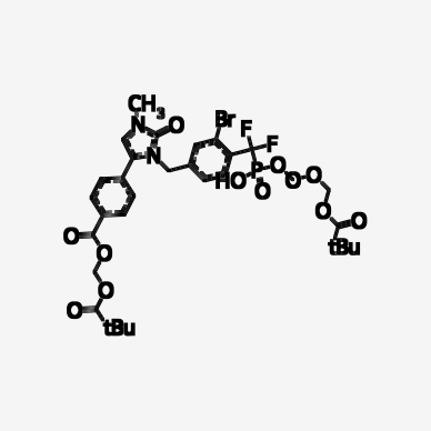 Cn1cc(-c2ccc(C(=O)OCOC(=O)C(C)(C)C)cc2)n(Cc2ccc(C(F)(F)P(=O)(O)OOOCOC(=O)C(C)(C)C)c(Br)c2)c1=O